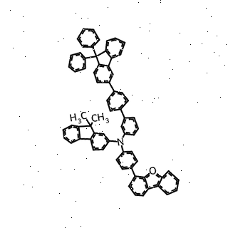 CC1(C)c2ccccc2-c2ccc(N(c3ccc(-c4cccc5c4oc4ccccc45)cc3)c3cccc(-c4ccc(-c5ccc6c(c5)-c5ccccc5C6(c5ccccc5)c5ccccc5)cc4)c3)cc21